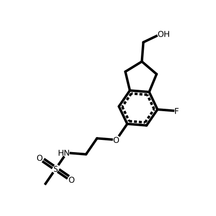 CS(=O)(=O)NCCOc1cc(F)c2c(c1)CC(CO)C2